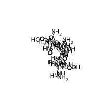 CC(C)C[C@H](NC(=O)CNC(=O)[C@H](Cc1ccccc1)NC(=O)[C@H](CO)NC(=O)[C@H](CC(N)=O)NC(=O)[C@H](Cc1c[nH]c2ccccc12)NC(=O)[C@H](CCCCN)NC(=O)[C@@H](N)Cc1ccc(O)cc1)C(=O)N[C@@H](CCCNC(=N)N)C(=O)N[C@@H](Cc1ccc(O)cc1)C(N)=O